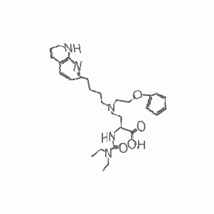 CCN(CC)C(=O)N[C@@H](CCN(CCCCc1ccc2c(n1)NCCC2)CCOc1ccccc1)C(=O)O